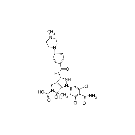 CN1CCN(c2ccc(C(=O)NC3NN(c4cc(Cl)c(C(N)=O)c(Cl)c4)C4=C3CN(C(=O)O)C4(C)C)cc2)CC1